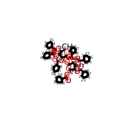 CC1O[C@H](CO[C@@H]2O[C@H](COC(=O)c3ccccc3)[C@@H](OC(=O)c3ccccc3)[C@H](OC(=O)c3ccccc3)[C@H]2OC(=O)c2ccccc2)[C@@H](OC(=O)c2ccccc2)[C@H](OC(=O)c2ccccc2)[C@H]1OC(=O)c1ccccc1